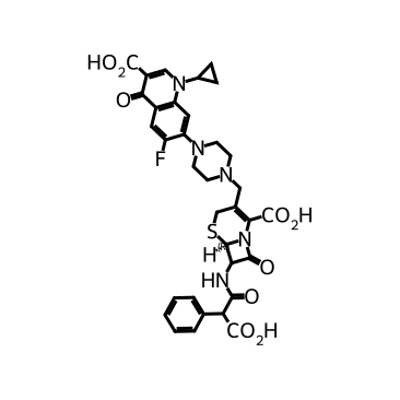 O=C(O)C1=C(CN2CCN(c3cc4c(cc3F)c(=O)c(C(=O)O)cn4C3CC3)CC2)CS[C@@H]2C(NC(=O)C(C(=O)O)c3ccccc3)C(=O)N12